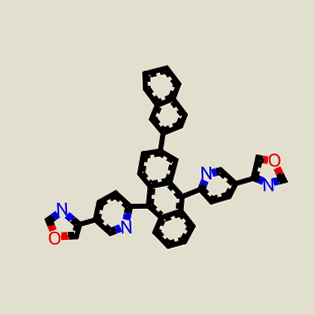 c1ccc2cc(-c3ccc4c(-c5ccc(-c6cocn6)cn5)c5ccccc5c(-c5ccc(-c6cocn6)cn5)c4c3)ccc2c1